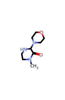 CN1CCNC(N2CCOCC2)C1=O